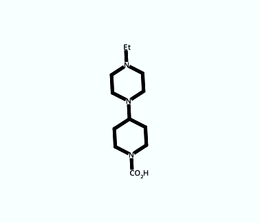 CCN1CCN(C2CCN(C(=O)O)CC2)CC1